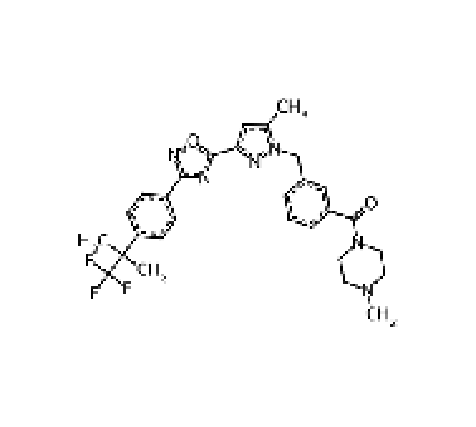 Cc1cc(-c2nc(-c3ccc(C(C)(C)C(F)(F)F)cc3)no2)nn1Cc1cccc(C(=O)N2CCN(C)CC2)c1